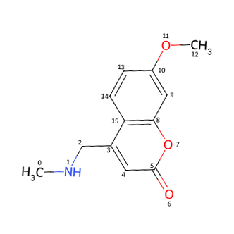 CNCc1cc(=O)oc2cc(OC)ccc12